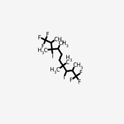 CC(C(I)C(C)(C)CCC(C)C(C)(I)C(C)C(F)(F)F)C(F)(F)F